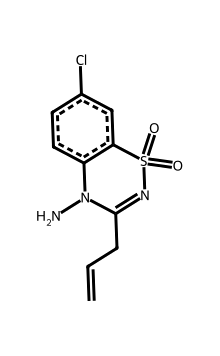 C=CCC1=NS(=O)(=O)c2cc(Cl)ccc2N1N